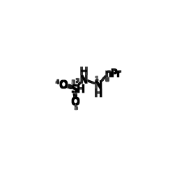 CCCNN[SH](=O)=O